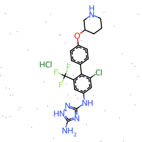 Cl.Nc1nc(Nc2cc(Cl)c(-c3ccc(OC4CCCNC4)cc3)c(C(F)(F)F)c2)n[nH]1